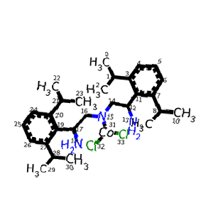 CC(C)c1cccc(C(C)C)c1C(N)C[N](CC(N)c1c(C(C)C)cccc1C(C)C)[Co]([Cl])[Cl]